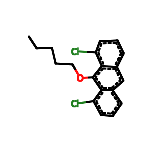 CCCCCOc1c2c(Cl)cccc2cc2cccc(Cl)c12